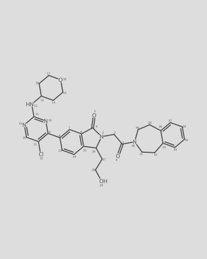 O=C(CN1C(=O)c2cc(-c3nc(NC4CCOCC4)ncc3Cl)ccc2C1CCO)N1CCc2ccccc2CC1